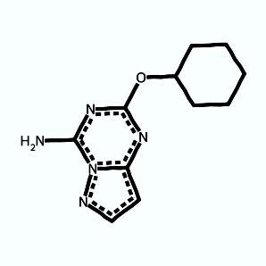 Nc1nc(OC2CCCCC2)nc2ccnn12